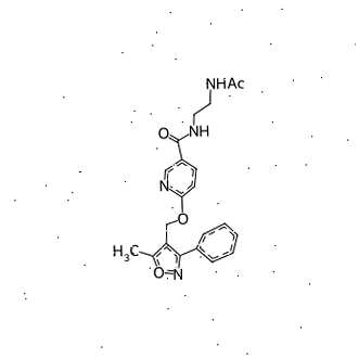 CC(=O)NCCNC(=O)c1ccc(OCc2c(-c3ccccc3)noc2C)nc1